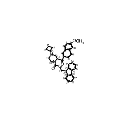 COc1ccc2cc(C(=O)C3CN(C4CCC4)CCN3C(=O)OCC3c4ccccc4-c4ccccc43)ccc2c1